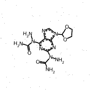 NC(=O)N(N)c1nc(N(N)C(N)=O)c2ncn(C3OCCO3)c2n1